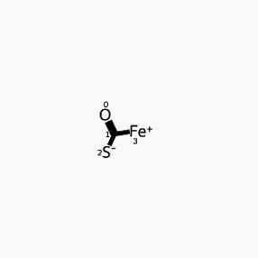 O=[C]([S-])[Fe+]